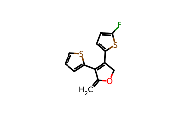 C=C1OCC(c2ccc(F)s2)=C1c1cccs1